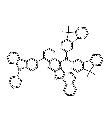 CC1(C)c2ccccc2-c2cc(N(c3ccc4c(c3)-c3ccccc3C4(C)C)c3c4cccc(-c5ccc6c(c5)c5ccccc5n6-c5ccccc5)c4nc4nc5c6ccccc6ccc5n34)ccc21